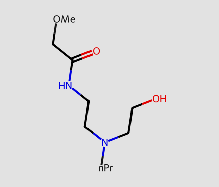 CCCN(CCO)CCNC(=O)COC